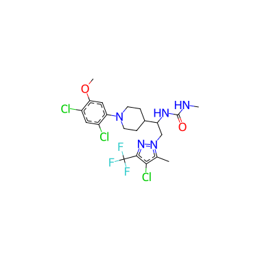 CNC(=O)NC(Cn1nc(C(F)(F)F)c(Cl)c1C)C1CCN(c2cc(OC)c(Cl)cc2Cl)CC1